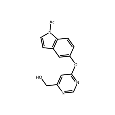 CC(=O)n1ccc2cc(Oc3cc(CO)ncn3)ccc21